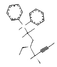 CC#C[C@](C)(O)[C@@H](CC)CC(C)(C)[Si](O)(c1ccccc1)c1ccccc1